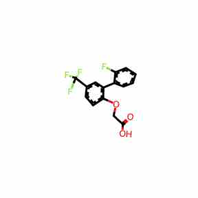 O=C(O)COc1ccc(C(F)(F)F)cc1-c1ccccc1F